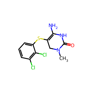 CN1CC(Sc2cccc(Cl)c2Cl)=C(N)NC1=O